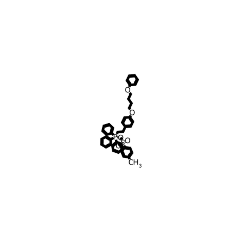 Cc1ccc(S(=O)(=O)OP(CCc2ccc(OCCCCOc3ccccc3)cc2)(c2ccccc2)(c2ccccc2)c2ccccc2)cc1